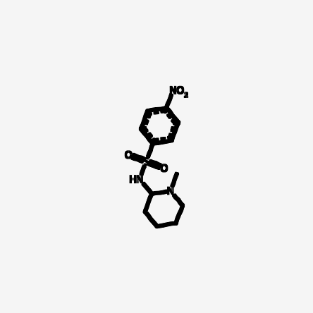 CN1CCCCC1NS(=O)(=O)c1ccc([N+](=O)[O-])cc1